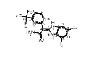 NC(=O)/C(=C1/Nc2cc(F)cc(F)c2N1)c1nccc(C(F)(F)F)n1